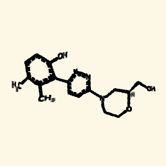 Cc1ccc(O)c(-c2ccc(N3CCO[C@H](CO)C3)nn2)c1C